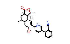 C[C@H]1C[C@H]2C(=O)O[C@H](C)[C@H]2[C@@H](/C=C/c2ccc(-c3ccccc3C#N)cn2)[C@@H]1CCBr